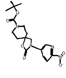 CC(C)(C)OC(=O)N1CCC2(CC1)CN(c1ccc([N+](=O)[O-])nc1)C(=O)O2